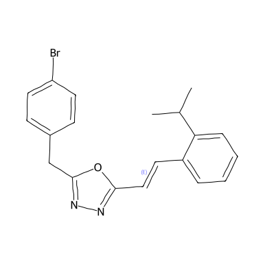 CC(C)c1ccccc1/C=C/c1nnc(Cc2ccc(Br)cc2)o1